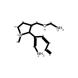 C=C/C=C\C(=C/N)C1C(COCN)CCN1C